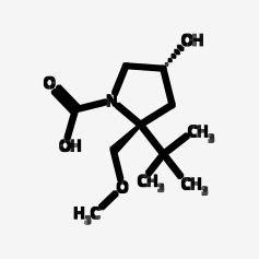 COC[C@]1(C(C)(C)C)C[C@@H](O)CN1C(=O)O